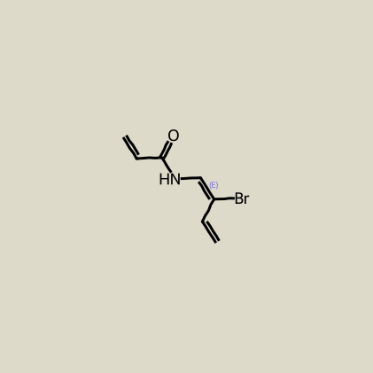 C=CC(=O)N/C=C(/Br)C=C